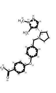 Cc1c([C@@H]2CCCN2Cc2ccc(Oc3ccc(C(N)=O)cc3)cc2)cnn1C